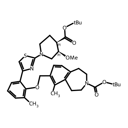 CO[C@H]1CN(c2nc(-c3cccc(C)c3OCc3ccc4c(c3C)CCN(C(=O)OC(C)(C)C)CC4)cs2)CC[C@H]1C(=O)OC(C)(C)C